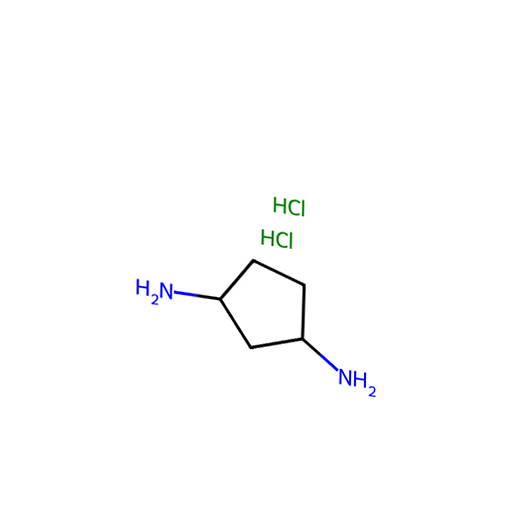 Cl.Cl.NC1CCC(N)C1